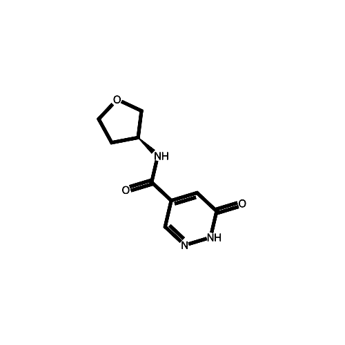 O=C(N[C@H]1CCOC1)c1cn[nH]c(=O)c1